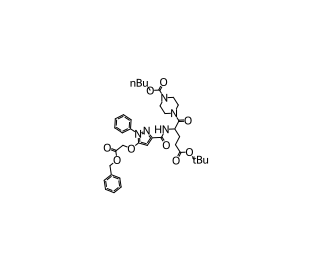 CCCCOC(=O)N1CCN(C(=O)C(CCC(=O)OC(C)(C)C)NC(=O)c2cc(OCC(=O)OCc3ccccc3)n(-c3ccccc3)n2)CC1